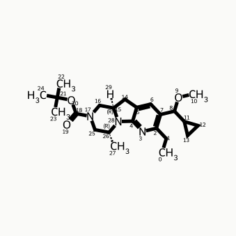 CCc1nc2c(cc1C(OC)C1CC1)C[C@@H]1CN(C(=O)OC(C)(C)C)C[C@@H](C)N21